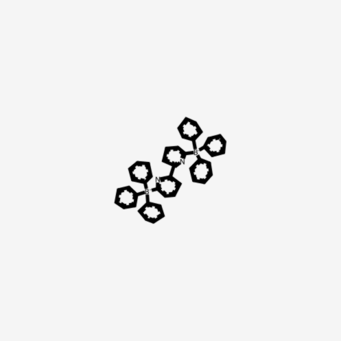 c1ccc([B-](c2ccccc2)(c2ccccc2)c2cccc(-c3cccc([B-](c4ccccc4)(c4ccccc4)c4ccccc4)n3)n2)cc1